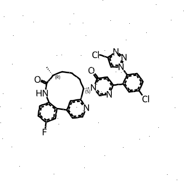 C[C@@H]1CCC[C@H](n2cnc(-c3cc(Cl)ccc3-n3cc(Cl)nn3)cc2=O)c2cc(ccn2)-c2cc(F)ccc2NC1=O